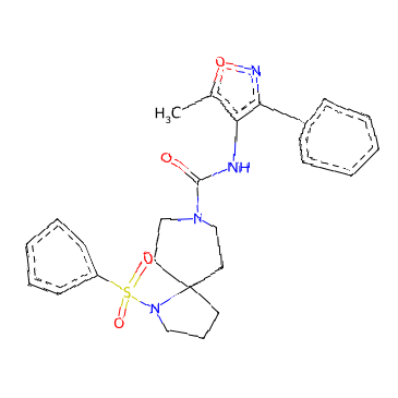 Cc1onc(-c2ccccc2)c1NC(=O)N1CCC2(CCCN2S(=O)(=O)c2ccccc2)CC1